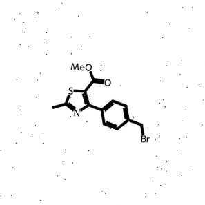 COC(=O)c1sc(C)nc1-c1ccc(CBr)cc1